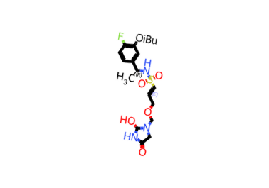 CC(C)COc1cc([C@@H](C)NS(=O)(=O)/C=C/COCN2CC(=O)NC2O)ccc1F